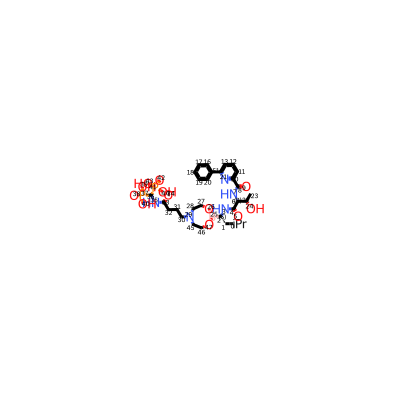 CC(C)C[C@@H](NC(=O)[C@H](NC(=O)c1cccc(-c2ccccc2)n1)C(C)O)B1OCCN(CCCC(=O)NC(P(=O)(O)O)P(=O)(O)O)CCO1